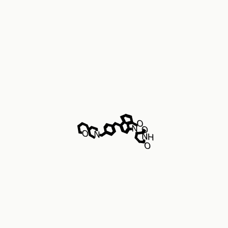 O=C1CCC(N2C(=O)c3cccc4c(Cc5ccc(CN6CCC7(CCCCO7)CC6)cc5)ccc2c34)C(=O)N1